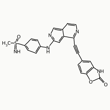 CS(=N)(=O)c1ccc(Nc2cc3c(C#Cc4ccc5oc(=O)[nH]c5c4)nccc3cn2)cc1